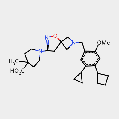 COc1cc(C2CCC2)c(C2CC2)cc1CN1CC2(CC(N3CCC(C)(C(=O)O)CC3)=NO2)C1